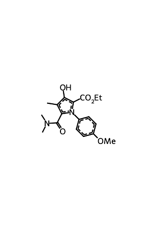 CCOC(=O)c1c(O)c(C)c(C(=O)N(C)C)n1-c1ccc(OC)cc1